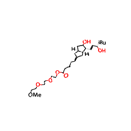 CCC(C)[C@H](O)/C=C/[C@@H]1[C@H]2C/C(=C/CCCC(=O)OCCOCCOCCOC)C[C@H]2C[C@H]1O